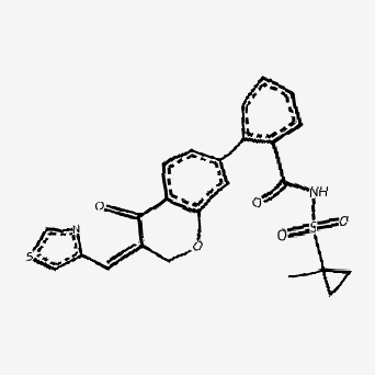 CC1(S(=O)(=O)NC(=O)c2ccccc2-c2ccc3c(c2)OCC(=Cc2cscn2)C3=O)CC1